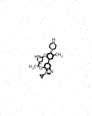 Cc1cc(-c2cc(O[C@H](C)[C@H]3CNC(=O)C3)c3c(c2)ncn3C2CC2)ccc1N1CCNCC1